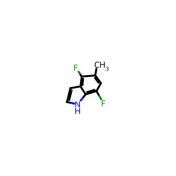 Cc1cc(F)c2[nH]ccc2c1F